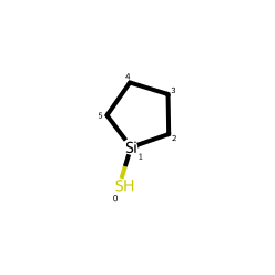 S[Si]1CCCC1